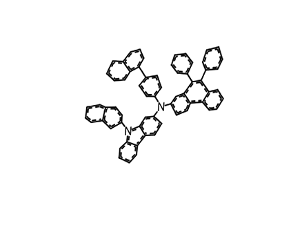 c1ccc(-c2c(-c3ccccc3)c3cc(N(c4ccc(-c5cccc6ccccc56)cc4)c4ccc5c6ccccc6n(-c6ccc7ccccc7c6)c5c4)ccc3c3ccccc23)cc1